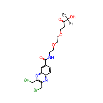 CCC(O)(CC)C(=O)CCOCCOCCNC(=O)c1ccc2nc(CBr)c(CBr)nc2c1